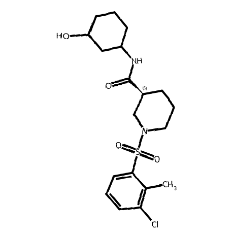 Cc1c(Cl)cccc1S(=O)(=O)N1CCC[C@H](C(=O)NC2CCCC(O)C2)C1